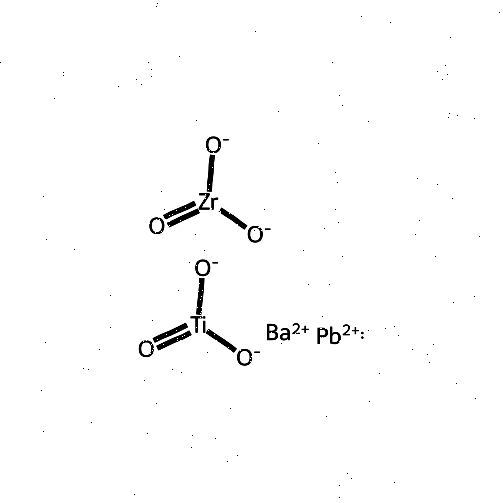 [Ba+2].[O]=[Ti]([O-])[O-].[O]=[Zr]([O-])[O-].[Pb+2]